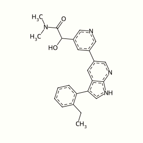 CCc1ccccc1-c1c[nH]c2ncc(-c3cncc(C(O)C(=O)N(C)C)c3)cc12